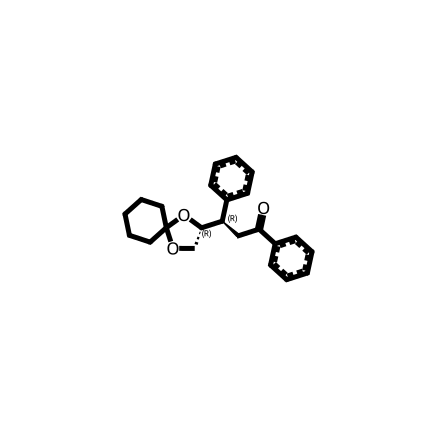 O=C(C[C@H](c1ccccc1)[C@@H]1COC2(CCCCC2)O1)c1ccccc1